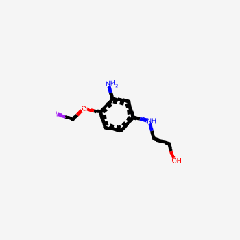 Nc1cc(NCCO)ccc1OCI